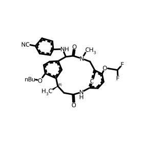 CCCCOc1ccc2cc1[C@H](C)CC(=O)Nc1ccc(OC(F)F)c(c1)CN(C)C(=O)C2Nc1ccc(C#N)cc1